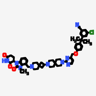 Cn1c(=O)n(C2CCC(=O)NC2=O)c2cccc(CN3CCC4(CC3)CC(N3CCC5(CCN(c6nccc(COc7ccc(C(C)(C)c8cc(Cl)cc(C#N)c8)cc7)n6)CC5)CC3)C4)c21